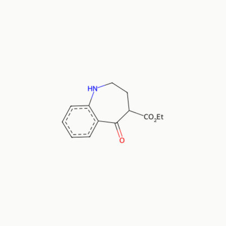 CCOC(=O)C1CCNc2ccccc2C1=O